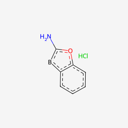 Cl.Nc1bc2ccccc2o1